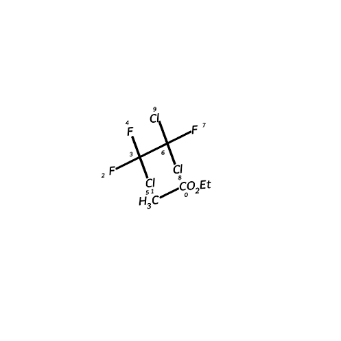 CCOC(C)=O.FC(F)(Cl)C(F)(Cl)Cl